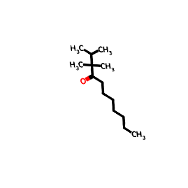 CCCCCCCC(=O)C(C)(C)C(C)C